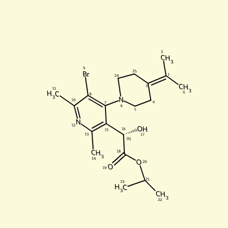 CC(C)=C1CCN(c2c(Br)c(C)nc(C)c2[C@H](O)C(=O)OC(C)C)CC1